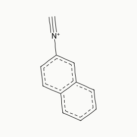 C#[N+]c1ccc2ccccc2c1